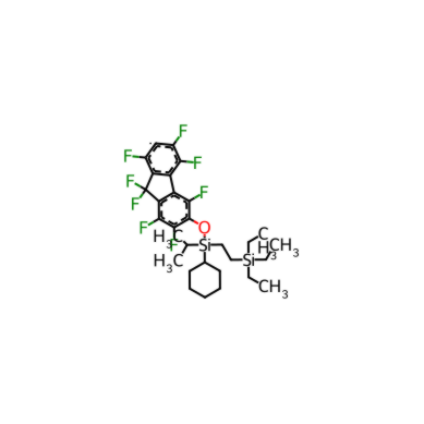 CC[Si](CC)(CC)CC[Si](Oc1c(F)c(F)c2c(c1F)-c1c(F)c(F)[c]c(F)c1C2(F)F)(C(C)C)C1CCCCC1